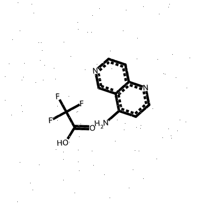 Nc1ccnc2ccncc12.O=C(O)C(F)(F)F